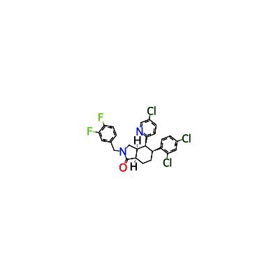 O=C1[C@@H]2CC[C@H](c3ccc(Cl)cc3Cl)[C@H](c3ccc(Cl)cn3)[C@@H]2CN1Cc1ccc(F)c(F)c1